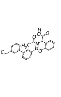 CCc1cccc(-c2cccc(COc3ccccc3C(NC(C)=O)C(=O)O)c2)c1